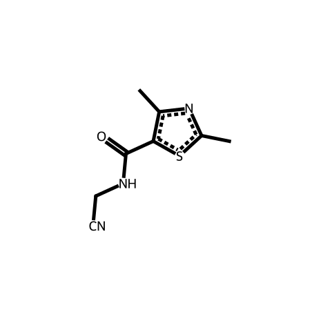 Cc1nc(C)c(C(=O)NCC#N)s1